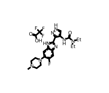 CCN(CC)C(=O)Nc1c[nH]nc1-c1nc2cc(F)c(N3CCN(C)CC3)cc2[nH]1.O=C(O)C(F)(F)F